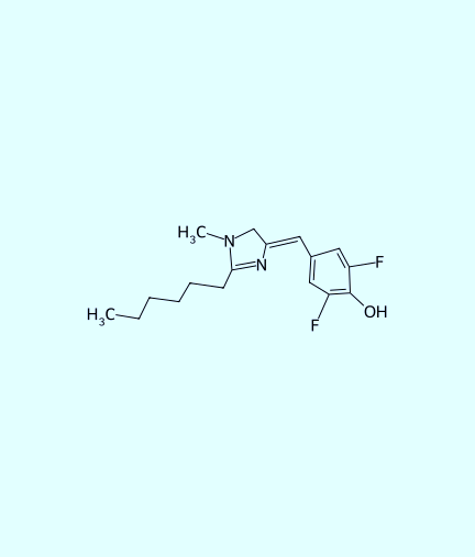 CCCCCCC1=N/C(=C\c2cc(F)c(O)c(F)c2)CN1C